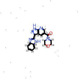 O=C(c1cnc2[nH]nc(-c3nc4ccccc4[nH]3)c2c1)N1CCOCC1